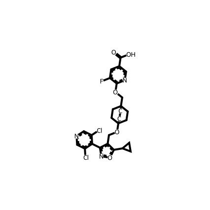 O=C(O)c1cnc(OCC23CCC(OCc4c(-c5c(Cl)cncc5Cl)noc4C4CC4)(CC2)CC3)c(F)c1